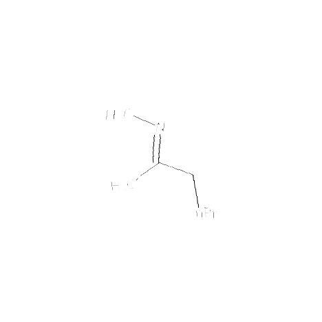 CCCC/C(C)=N/C